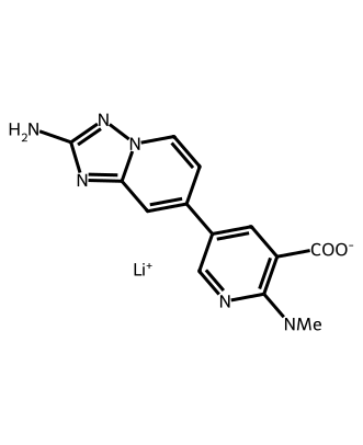 CNc1ncc(-c2ccn3nc(N)nc3c2)cc1C(=O)[O-].[Li+]